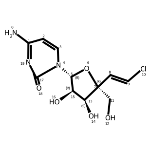 Nc1ccn([C@@H]2O[C@](C=CCl)(CO)[C@@H](O)[C@H]2O)c(=O)n1